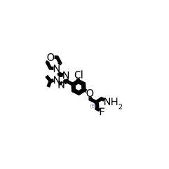 CC(C)n1nc(-c2ccc(OC/C(=C/F)CN)cc2Cl)nc1N1CCOCC1